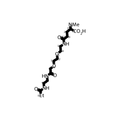 CCC(=O)NCCNC(=O)COCCOCCNC(=O)CCC(NC)C(=O)O